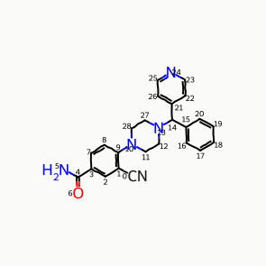 N#Cc1cc(C(N)=O)ccc1N1CCN(C(c2ccccc2)c2ccncc2)CC1